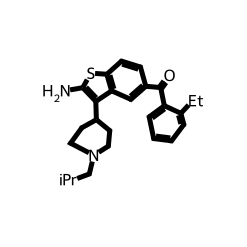 CCc1ccccc1C(=O)c1ccc2sc(N)c(C3CCN(CC(C)C)CC3)c2c1